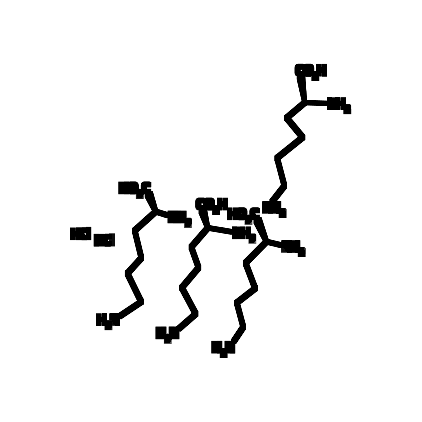 Cl.Cl.NCCCC[C@H](N)C(=O)O.NCCCC[C@H](N)C(=O)O.NCCCC[C@H](N)C(=O)O.NCCCC[C@H](N)C(=O)O